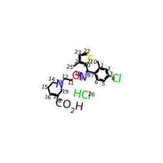 Cc1cc(Cl)ccc1/C(=N/OCCN1CCC=C(C(=O)O)C1)c1sccc1C.Cl